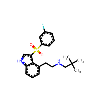 CC(C)(C)CNCCc1cccc2[nH]cc(S(=O)(=O)c3cccc(F)c3)c12